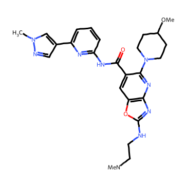 CNCCNc1nc2nc(N3CCC(OC)CC3)c(C(=O)Nc3cccc(-c4cnn(C)c4)n3)cc2o1